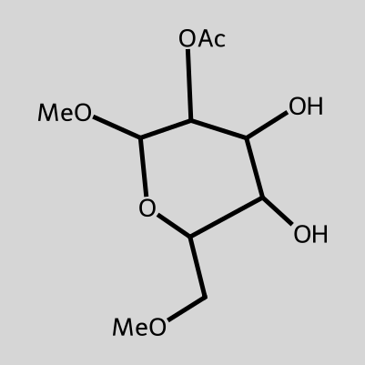 COCC1OC(OC)C(OC(C)=O)C(O)C1O